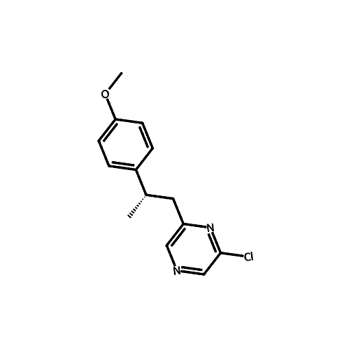 COc1ccc([C@@H](C)Cc2cncc(Cl)n2)cc1